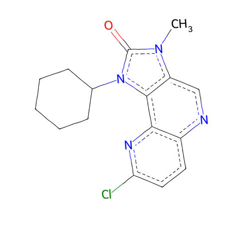 Cn1c(=O)n(C2CCCCC2)c2c3nc(Cl)ccc3ncc21